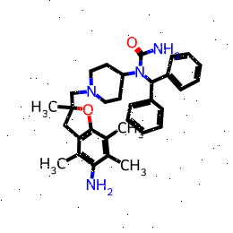 Cc1c(C)c2c(c(C)c1N)CC(C)(CN1CCC(N(C(N)=O)C(c3ccccc3)c3ccccc3)CC1)O2